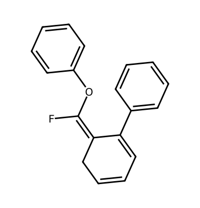 FC(Oc1ccccc1)=C1CC=CC=C1c1ccccc1